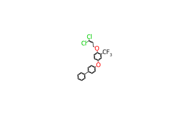 FC(F)(F)c1cc(Oc2ccc(-c3ccccc3)cc2)ccc1OCC=C(Cl)Cl